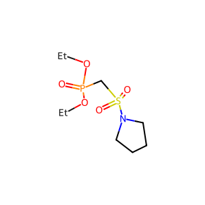 CCOP(=O)(CS(=O)(=O)N1CCCC1)OCC